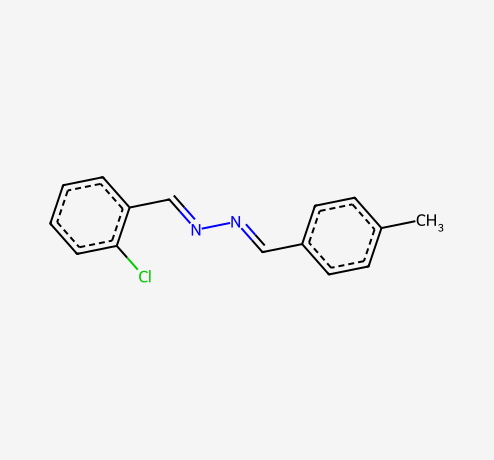 Cc1ccc(C=NN=Cc2ccccc2Cl)cc1